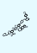 CC1(C)CCC(CN2CCN(c3ccc(C(=O)NS(=O)(=O)c4cc5c(c([N+](=O)[O-])c4)OC(CN4CCOCC4)CO5)c(N4CCCOc5nc6[nH]ccc6cc54)c3)CC2)=C(c2ccc(Cl)cc2)C1